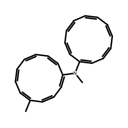 CC1=C/C=C\C=C/C=C\C(N(C)C2=C/C=C\C=C/C=C\C=C/C=C\2)=C/C=C\1